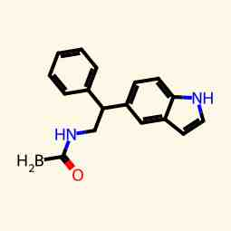 BC(=O)NCC(c1ccccc1)c1ccc2[nH]ccc2c1